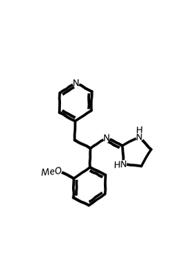 COc1ccccc1C(Cc1ccncc1)N=C1NCCN1